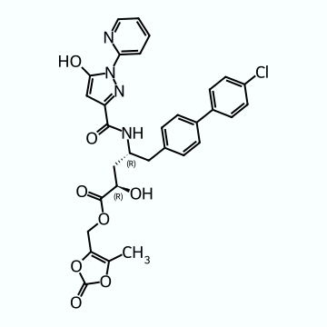 Cc1oc(=O)oc1COC(=O)[C@H](O)C[C@@H](Cc1ccc(-c2ccc(Cl)cc2)cc1)NC(=O)c1cc(O)n(-c2ccccn2)n1